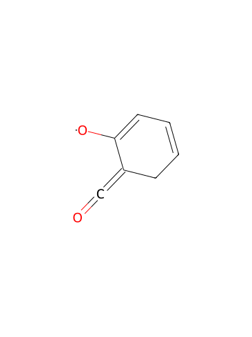 [O]C1=CC=CCC1=C=O